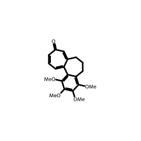 COc1c2c(c(OC)c(OC)c1OC)-c1cccc(=O)cc1CCC2